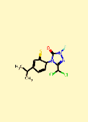 CC(C)C1=CC(=S)C(n2c(C(Cl)Cl)nn(F)c2=O)C=C1